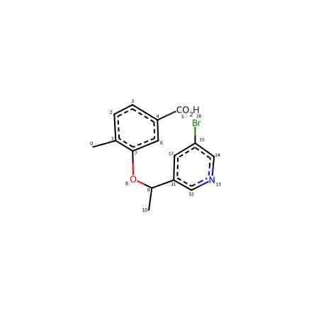 Cc1ccc(C(=O)O)cc1OC(C)c1cncc(Br)c1